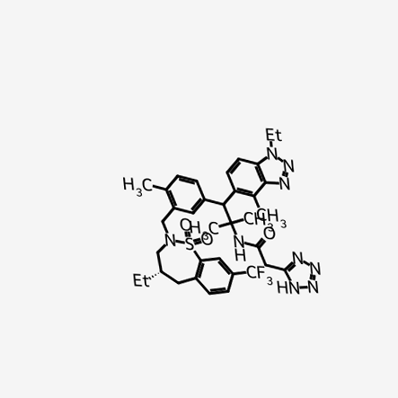 CC[C@H]1Cc2ccc(C(F)(F)F)cc2S(=O)(=O)N(Cc2cc(C(c3ccc4c(nnn4CC)c3C)C(C)(C)NC(=O)Cc3nnn[nH]3)ccc2C)C1